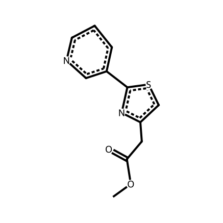 COC(=O)Cc1csc(-c2cccnc2)n1